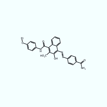 CCOc1ccc(NC(=O)c2c(C(=O)O)c(O)c(N=Nc3ccc(C(N)=O)cc3)c3ccccc23)cc1